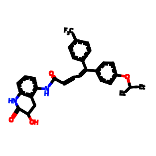 CCC(CC)Oc1ccc(C(=CC=CC(=O)Nc2cccc3c2CC(O)C(=O)N3)c2ccc(C(F)(F)F)cc2)cc1